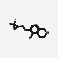 FC1(F)CC1COc1ccc2c(c1Br)CCNC2